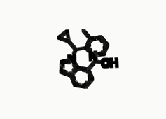 Cc1cccnc1C(C1CC1)n1ccc2cccc(CO)c21